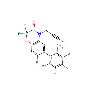 CC#CCN1C(=O)C(F)(F)Oc2cc(F)c(-c3c(F)c(F)c(C)c(I)c3P)cc21